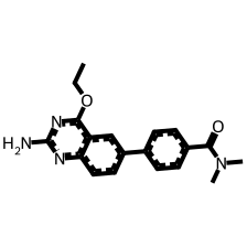 CCOc1nc(N)nc2ccc(-c3ccc(C(=O)N(C)C)cc3)cc12